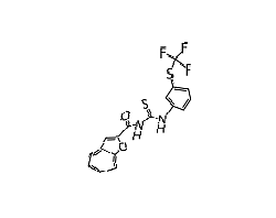 O=C(NC(=S)Nc1cccc(SC(F)(F)F)c1)c1cc2ccccc2o1